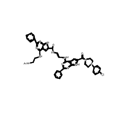 CC(=O)NCCNc1nc(-c2ccccc2)nc2[nH]c(C(=O)NCCNc3nc(-c4ccccc4)nc4[nH]c(C(=O)N5CCN(c6ccc(Cl)cc6)CC5)cc34)cc12